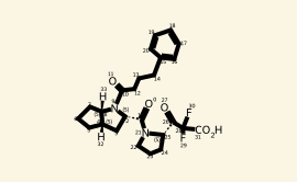 O=C([C@@H]1C[C@@H]2CCC[C@@H]2N1C(=O)CCCc1ccccc1)N1CCC[C@H]1C(=O)C(F)(F)C(=O)O